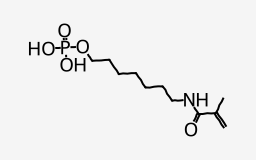 C=C(C)C(=O)NCCCCCCCOP(=O)(O)O